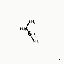 NCCCCCCCCCC(N)OC(=O)CCCCC(=O)OC(N)CCCCCCCCCN